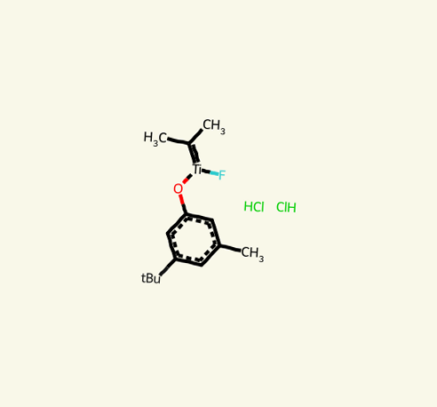 C[C](C)=[Ti]([F])[O]c1cc(C)cc(C(C)(C)C)c1.Cl.Cl